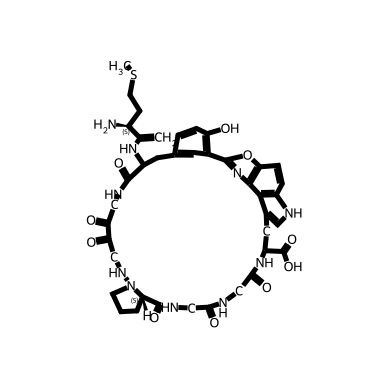 C=C(NC1Cc2ccc(O)c(c2)-c2nc3c(ccc4[nH]cc(c43)CC(C(=O)O)NC(=O)CNC(=O)CNC(=O)[C@@H]3CCCN3NCC(=O)C(=O)CNC1=O)o2)[C@@H](N)CCSC